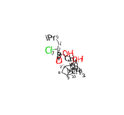 CC(C)CC(Cl)B(O)O[C@]12CC(CC[C@]1(C)O)C2(C)C